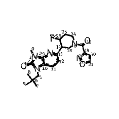 Cn1c(=O)n(CC(C)(C)C)c2ccc(C3CN(C(=O)c4ccon4)CCC3F)nc21